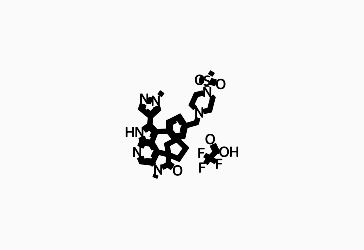 CN1C(=O)C2(CCCC2)c2c1cnc1[nH]c(-c3cnn(C)c3)c(-c3ccc(CN4CCN(S(C)(=O)=O)CC4)cc3)c21.O=C(O)C(F)(F)F